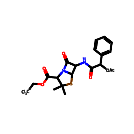 CC(=O)OC(C(=O)NC1C(=O)N2C1SC(C)(C)C2C(=O)OCC(Cl)(Cl)Cl)c1ccccc1